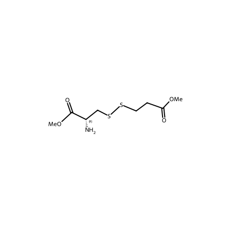 COC(=O)CCSSC[C@H](N)C(=O)OC